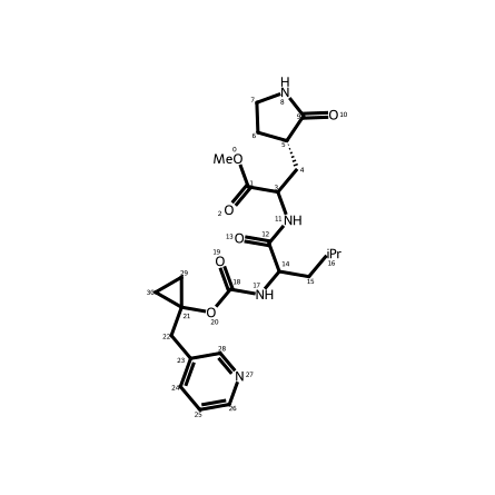 COC(=O)C(C[C@@H]1CCNC1=O)NC(=O)C(CC(C)C)NC(=O)OC1(Cc2cccnc2)CC1